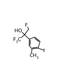 Cc1cc(C(O)(CF)C(F)(F)F)ccc1I